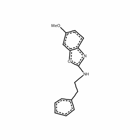 COc1ccc2nc(NCCc3ccccc3)oc2c1